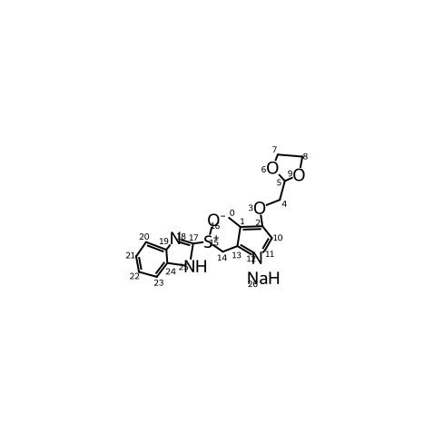 Cc1c(OCC2OCCO2)ccnc1C[S+]([O-])c1nc2ccccc2[nH]1.[NaH]